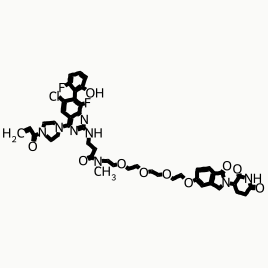 C=CC(=O)N1CCN(c2nc(NCCC(=O)N(C)CCOCCOCCOCCOc3ccc4c(c3)CN(C3CCC(=O)NC3=O)C4=O)nc3c(F)c(-c4c(O)cccc4F)c(Cl)cc23)CC1